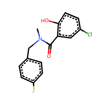 CN(Cc1ccc(F)cc1)C(=O)c1cc(Cl)ccc1O